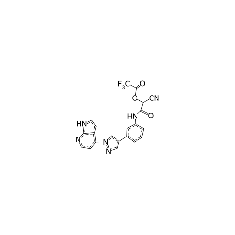 N#CC(OC(=O)C(F)(F)F)C(=O)Nc1cccc(-c2cnn(-c3ccnc4[nH]ccc34)c2)c1